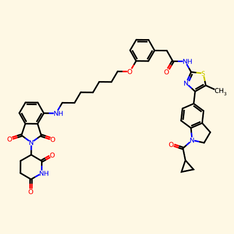 Cc1sc(NC(=O)Cc2cccc(OCCCCCCCNc3cccc4c3C(=O)N(C3CCC(=O)NC3=O)C4=O)c2)nc1-c1ccc2c(c1)CCN2C(=O)C1CC1